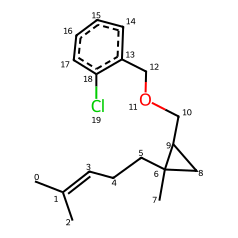 CC(C)=CCCC1(C)CC1COCc1ccccc1Cl